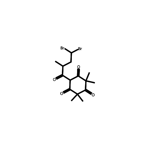 CC(CC(Br)Br)C(=O)C1C(=O)C(C)(C)C(=O)C(C)(C)C1=O